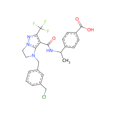 CC(NC(=O)c1c(C(F)(F)F)nn2c1N(Cc1cccc(CCl)c1)CC2)c1ccc(C(=O)O)cc1